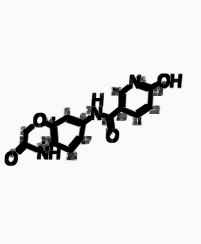 O=C1COc2cc(NC(=O)c3ccc(O)nc3)ccc2N1